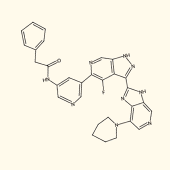 O=C(Cc1ccccc1)Nc1cncc(-c2ncc3[nH]nc(-c4nc5c(N6CCCCC6)cncc5[nH]4)c3c2F)c1